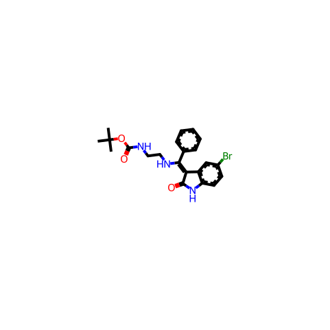 CC(C)(C)OC(=O)NCCN/C(=C1\C(=O)Nc2ccc(Br)cc21)c1ccccc1